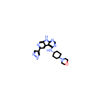 Cn1cc(-c2cc3c(cn2)[nH]c2ncnc(N[C@H]4CC[C@H](N5CCOCC5)CC4)c23)cn1